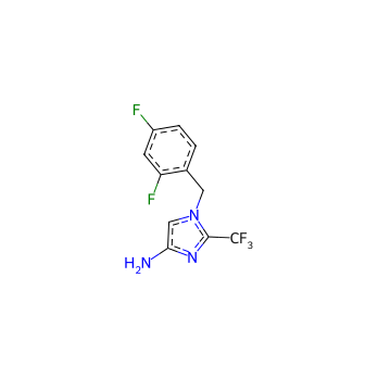 Nc1cn(Cc2ccc(F)cc2F)c(C(F)(F)F)n1